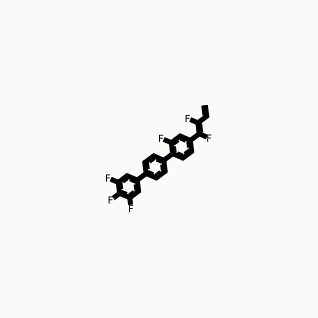 C=C/C(F)=C(\F)c1ccc(-c2ccc(-c3cc(F)c(F)c(F)c3)cc2)c(F)c1